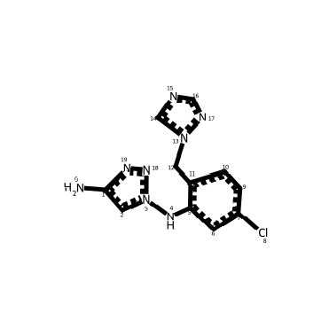 Nc1cn(Nc2cc(Cl)ccc2Cn2cncn2)nn1